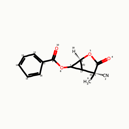 C[C@]1(C#N)C(=O)O[C@@H]2C(OC(=O)c3ccccc3)C21